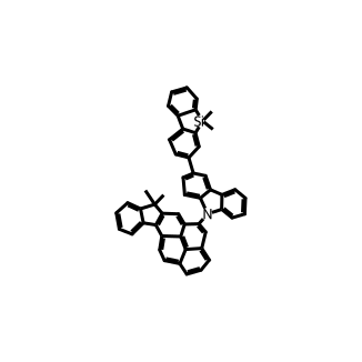 CC1(C)c2ccccc2-c2c1cc1c(-n3c4ccccc4c4cc(-c5ccc6c(c5)[Si](C)(C)c5ccccc5-6)ccc43)cc3cccc4ccc2c1c43